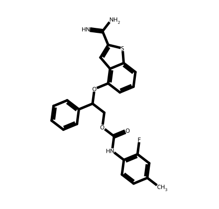 Cc1ccc(NC(=O)OCC(Oc2cccc3sc(C(=N)N)cc23)c2ccccc2)c(F)c1